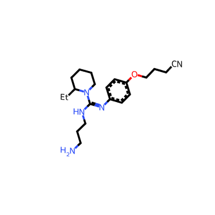 CCC1CCCCN1/C(=N\c1ccc(OCCCC#N)cc1)NCCCN